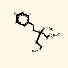 CC(=O)NC(CCOC(C)=O)(CCc1ccccc1)COC(C)=O